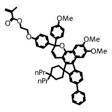 C=C(C)C(=O)OCCOc1ccc(C2(c3ccc(OC)cc3)C=Cc3c4c(c5cc(OC)c(OC)cc5c3O2)-c2ccc(-c3ccccc3)cc2C42CCC(CCC)(CCC)CC2)cc1